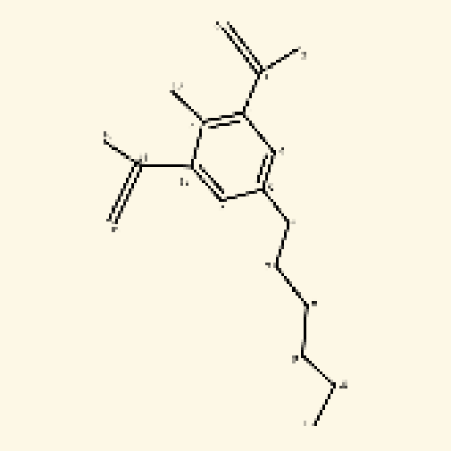 C=C(C)c1cc(CCCCCC)cc(C(=C)C)c1C